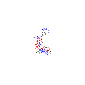 C=CCN(CCc1cccc(N)c1)C(=O)[C@H](C)[C@@H](OC)[C@@H]1CCCN1C(=O)C[C@@H](OC)[C@H]([C@@H](C)CC)N(C)C(=O)[C@@H](NC(=O)[C@H](C(C)C)N(C)C)C(C)C